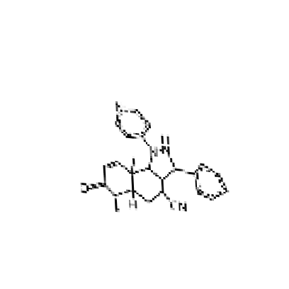 C[C@H]1C(=O)C=C[C@]2(C)C3C(C(C#N)C[C@H]12)C(c1ccccc1)NN3c1ccncc1